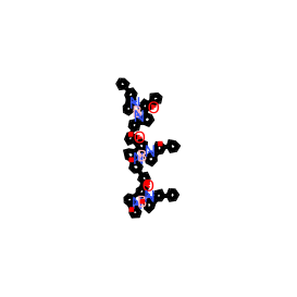 c1ccc(-c2ccc3c(c2)c2cccc4c2n3-c2cc3c(oc5ccccc53)c3c2B4n2c4ccc(-c5cccc6c5oc5cc7c8c(c56)-c5cccc6c9ccc(-c%10ccc%11oc%12c%13c%14c(cc%12c%11c%10)-c%10cccc%11c%12ccccc%12n(c%10%11)B%14c%10cccc%11c%12cc(-c%14ccccc%14)ccc%12n-%13c%10%11)cc9n(c56)B8c5cccc6c8cc(-c9ccccc9)ccc8n-7c56)cc4c4cccc-3c42)cc1